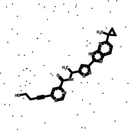 CC(NC(=O)c1cc(C#CCCO)ncn1)c1cc(-c2nc3ccc(C4(C)CC4)nc3[nH]2)no1